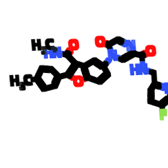 CNC(=O)c1c(-c2ccc(C)cc2)oc2ccc(-n3cc(C(=O)NCc4ccc(F)cn4)ncc3=O)cc12